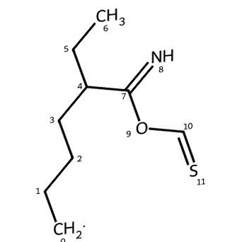 [CH2]CCCC(CC)C(=N)OC=S